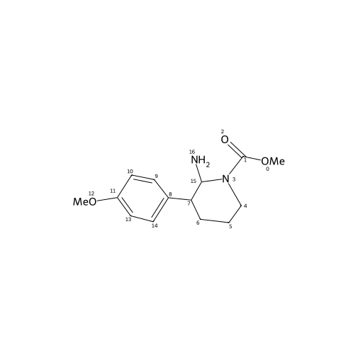 COC(=O)N1CCCC(c2ccc(OC)cc2)C1N